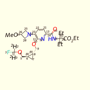 [2H]C([2H])(F)OC[C@@H]1C[C@H]1COc1nc(C(=O)NC(CC)(CC)C(=O)OCC)ccc1N1CC(OC)C1